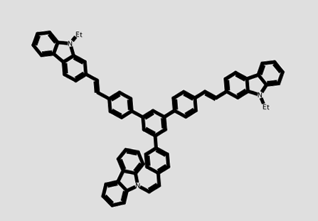 CCn1c2ccccc2c2ccc(/C=C/c3ccc(-c4cc(-c5ccc(/C=C\n6c7ccccc7c7ccccc76)cc5)cc(-c5ccc(/C=C/c6ccc7c8ccccc8n(CC)c7c6)cc5)c4)cc3)cc21